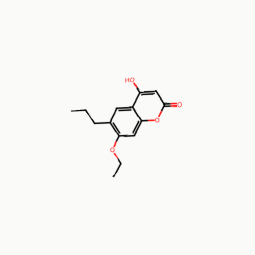 CCCc1cc2c(O)cc(=O)oc2cc1OCC